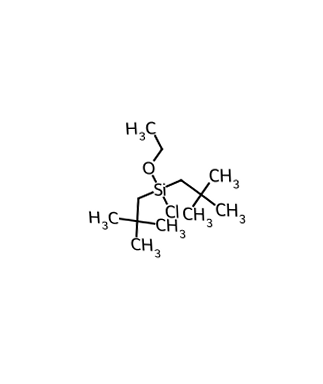 CCO[Si](Cl)(CC(C)(C)C)CC(C)(C)C